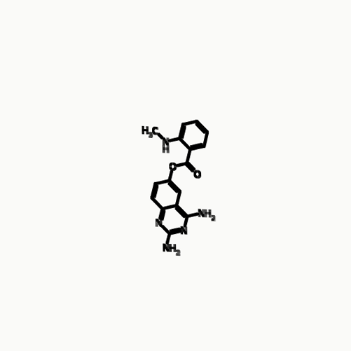 CNc1ccccc1C(=O)Oc1ccc2nc(N)nc(N)c2c1